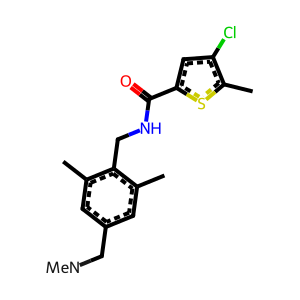 CNCc1cc(C)c(CNC(=O)c2cc(Cl)c(C)s2)c(C)c1